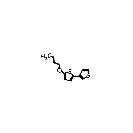 CCCCOc1ccc(-c2ccsc2)s1